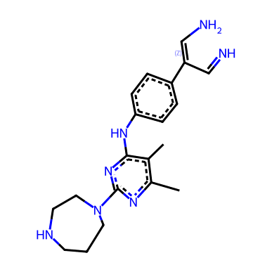 Cc1nc(N2CCCNCC2)nc(Nc2ccc(/C(C=N)=C/N)cc2)c1C